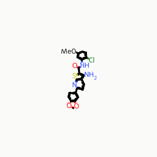 COc1ccc(Cl)c(NC(=O)c2sc3nc(-c4ccc5c(c4)OCO5)ccc3c2N)c1